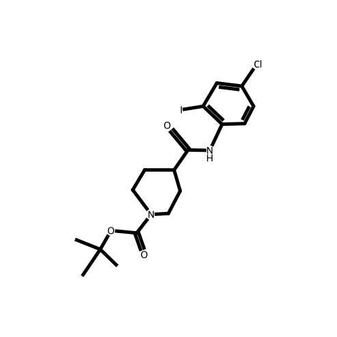 CC(C)(C)OC(=O)N1CCC(C(=O)Nc2ccc(Cl)cc2I)CC1